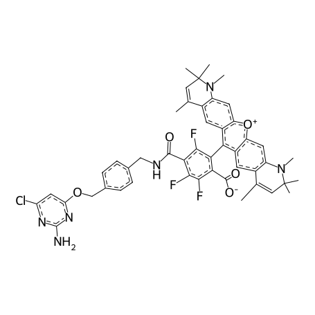 CC1=CC(C)(C)N(C)c2cc3[o+]c4cc5c(cc4c(-c4c(F)c(C(=O)NCc6ccc(COc7cc(Cl)nc(N)n7)cc6)c(F)c(F)c4C(=O)[O-])c3cc21)C(C)=CC(C)(C)N5C